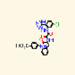 O=C(Nc1cc(Cl)ccc1-c1nnn[nH]1)C(=O)N[C@@H](Cc1ccccc1)C(=O)Nc1ccc(C(=O)O)cc1